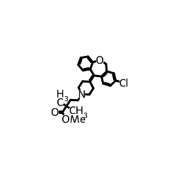 COC(=O)C(C)(C)CCN1CCC(=C2c3ccc(Cl)cc3COc3ccccc32)CC1